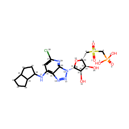 O=P(O)(O)CS(=O)(=O)C[C@H]1O[C@@H](n2nnc3c(NC4CCC5CCCC54)cc(Cl)nc32)[C@H](O)[C@@H]1O